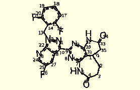 C[C@]12CCC(=O)Nc3nc(-c4nn(Cc5c(F)cccc5F)c5ncc(F)cc45)nc(c31)NC(=O)C2